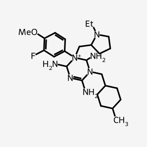 CCN1CCCC1C[N+]1(c2ccc(OC)c(F)c2)C(N)N=C(N)N(CC2CCC(C)CC2)C1N